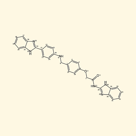 O=C(COc1ccc(CNc2ccc(-c3nc4ccccc4[nH]3)cc2)cc1)Nc1nc2ccccc2[nH]1